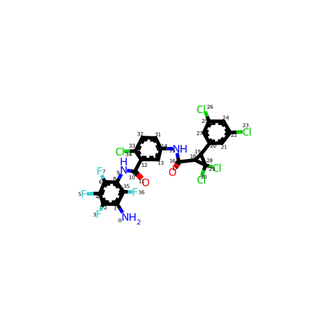 Nc1c(F)c(F)c(F)c(NC(=O)c2cc(NC(=O)C3C(c4cc(Cl)cc(Cl)c4)C3(Cl)Cl)ccc2Cl)c1F